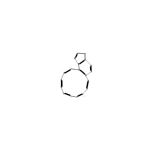 [C]1=CCc2ccc3c(c21)C=CC=CC=CC=CC=C3